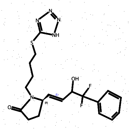 O=C1CC[C@H](/C=C/C(O)C(F)(F)c2ccccc2)N1CCCCSc1nnn[nH]1